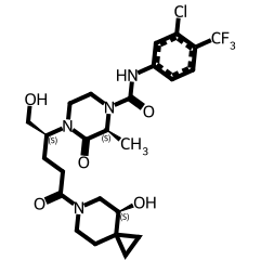 C[C@H]1C(=O)N([C@H](CO)CCC(=O)N2CCC3(CC3)[C@H](O)C2)CCN1C(=O)Nc1ccc(C(F)(F)F)c(Cl)c1